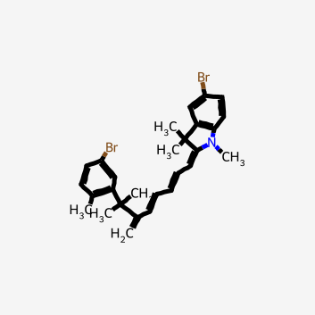 C=C(/C=C/C=C/C=C1/N(C)c2ccc(Br)cc2C1(C)C)C(C)(C)c1cc(Br)ccc1C